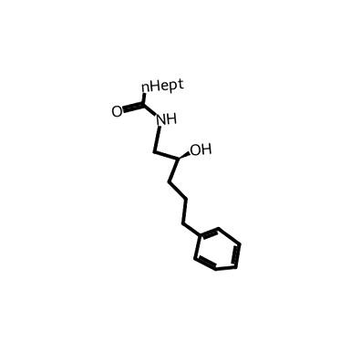 CCCCCCCC(=O)NC[C@@H](O)CCCc1ccccc1